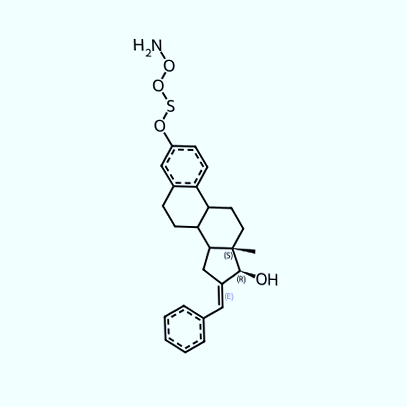 C[C@]12CCC3c4ccc(OSOON)cc4CCC3C1C/C(=C\c1ccccc1)[C@@H]2O